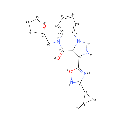 CC1CC1c1noc(C2N=CN3c4ccccc4N(CC4CCCO4)C(=O)C23)n1